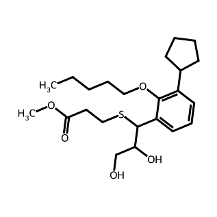 CCCCCOc1c(C2CCCC2)cccc1C(SCCC(=O)OC)C(O)CO